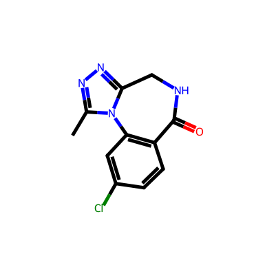 Cc1nnc2n1-c1cc(Cl)ccc1C(=O)NC2